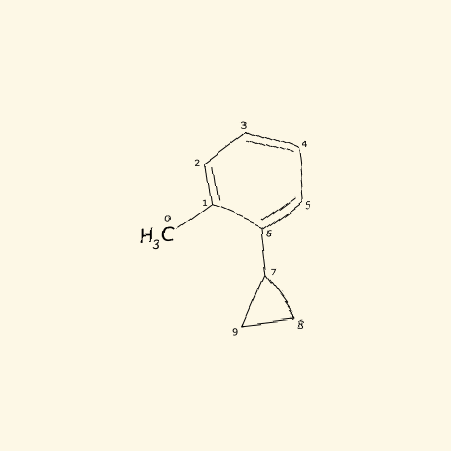 Cc1ccccc1C1CC1